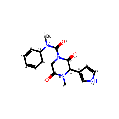 CCCCN(C(=O)N1CC(=O)N(C)C(c2cc[nH]c2)C1=O)C1C=CC=CC1